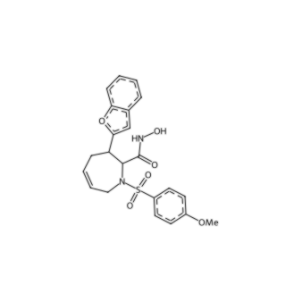 COc1ccc(S(=O)(=O)N2CC=CCC(c3cc4ccccc4o3)C2C(=O)NO)cc1